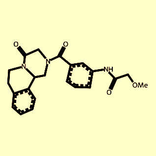 COCC(=O)Nc1cccc(C(=O)N2CC(=O)N3CCc4ccccc4C3C2)c1